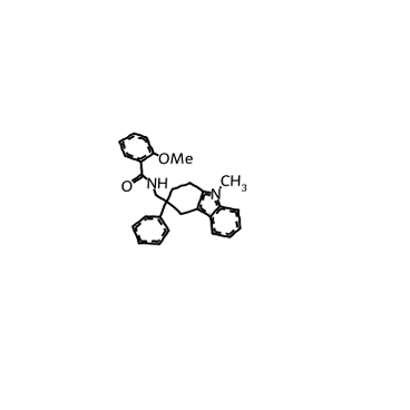 COc1ccccc1C(=O)NCC1(c2ccccc2)CCc2c(c3ccccc3n2C)C1